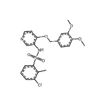 COc1ccc(COc2ccncc2NS(=O)(=O)c2cccc(Cl)c2C)cc1OC